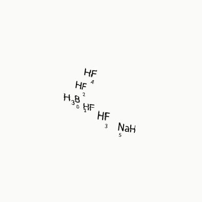 B.F.F.F.F.[NaH]